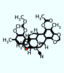 COCOc1c(OC)c(C)cc2c1[C@@H]1C3[C@@H]4S/C=C(/C)C(=O)OC[C@@H](c5c6c(c(C)c(OC(C)=O)c54)OCO6)N3[C@@H](C#N)[C@H](C2)N1C